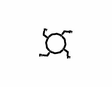 CC(C)CN1CCN(CC(C)C)CCN(CC(C)C)CCN(CC(C)C)CC1